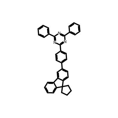 c1ccc(-c2nc(-c3ccccc3)nc(-c3ccc(-c4ccc5c(c4)-c4ccccc4C54CCCC4)cc3)n2)cc1